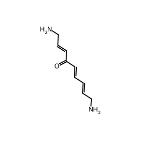 NC/C=C/C=C/C(=O)/C=C/CN